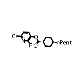 CCCCC[C@H]1CC[C@H](C(=O)Oc2ccc(Cl)nc2F)CC1